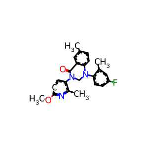 COc1ccc(N2CN(c3ccc(F)cc3C)c3ccc(C)cc3C2=O)c(C)n1